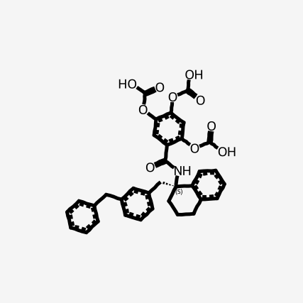 O=C(O)Oc1cc(OC(=O)O)c(C(=O)N[C@]2(Cc3cccc(Cc4ccccc4)c3)CCCc3ccccc32)cc1OC(=O)O